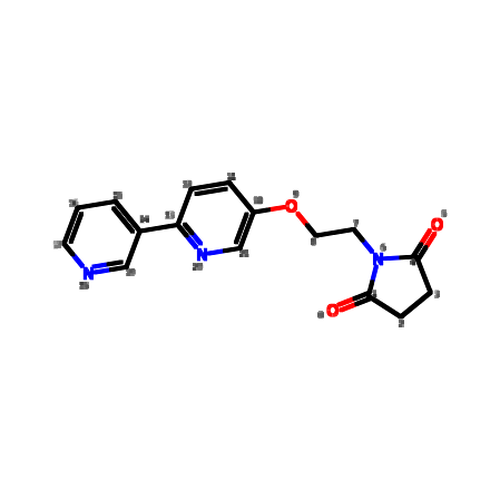 O=C1CCC(=O)N1CCOc1ccc(-c2cccnc2)nc1